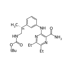 CCc1nc(Nc2cccc([C@@H](C)CNC(=O)OC(C)(C)C)c2)c(C(N)=O)nc1CC